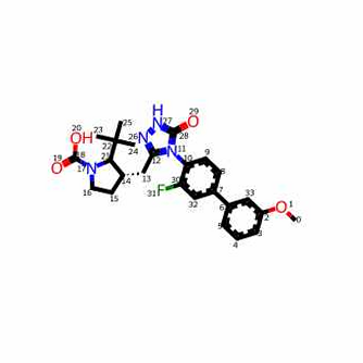 COc1cccc(-c2ccc(-n3c(C[C@@H]4CCN(C(=O)O)C4C(C)(C)C)n[nH]c3=O)c(F)c2)c1